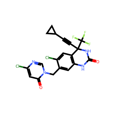 O=C1Nc2cc(Cn3cnc(Cl)cc3=O)c(Cl)cc2C(C#CC2CC2)(C(F)(F)F)N1